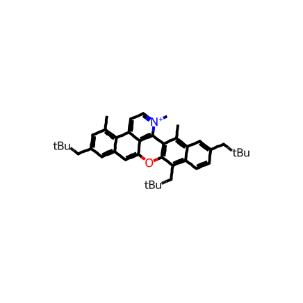 Cc1c2c(c(CC(C)(C)C)c3ccc(CC(C)(C)C)cc13)Oc1cc3cc(CC(C)(C)C)cc(C)c3c3cc[n+](C)c-2c13